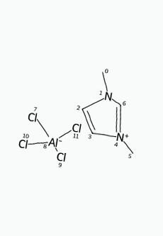 Cn1cc[n+](C)c1.[Cl][Al-]([Cl])([Cl])[Cl]